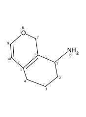 NC1CCCC2=C1COC=C2